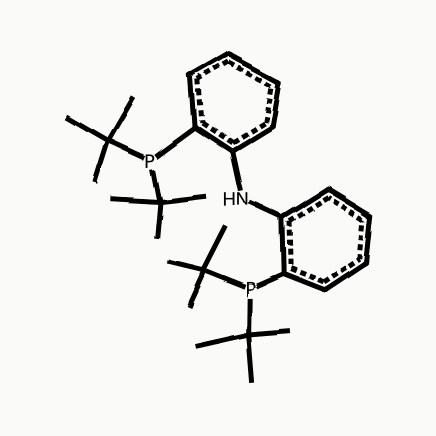 CC(C)(C)P(c1ccccc1Nc1ccccc1P(C(C)(C)C)C(C)(C)C)C(C)(C)C